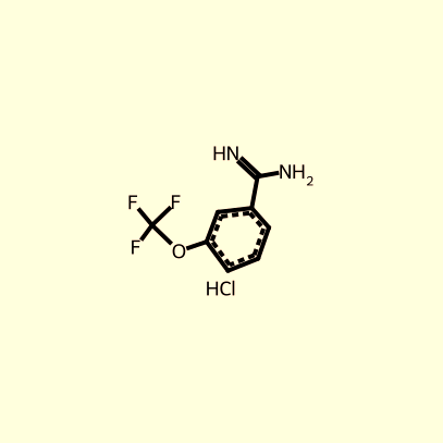 Cl.N=C(N)c1cccc(OC(F)(F)F)c1